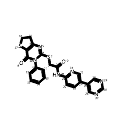 O=C(CSc1nc2c(c(=O)n1-c1ccccc1)SCC2)Nc1ccc(-c2cncnc2)cn1